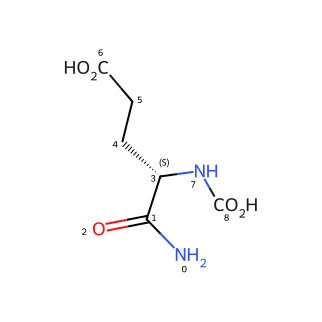 NC(=O)[C@H](CCC(=O)O)NC(=O)O